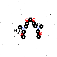 Cc1ccccc1N(c1ccc2cc3c(cc2c1)oc1ccc2oc4cc5cc(N(c6ccc7c(c6)oc6ccccc67)c6ccccc6C)ccc5cc4c2c13)c1ccc2c(c1)oc1ccccc12